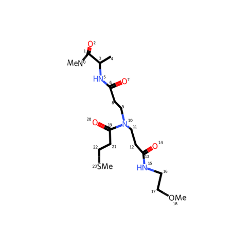 CNC(=O)C(C)NC(=O)CCN(CCC(=O)NCCOC)C(=O)CCSC